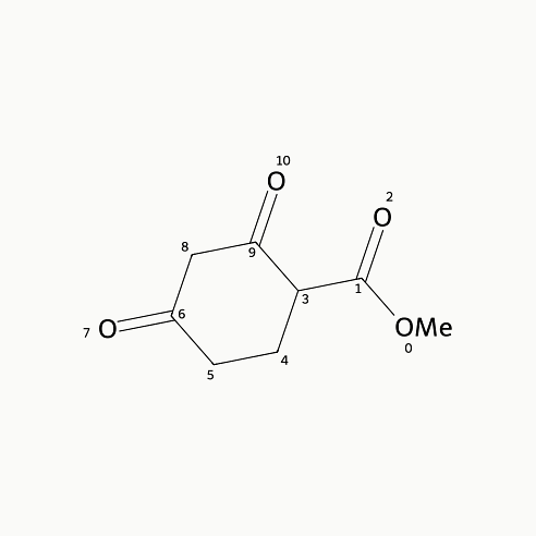 COC(=O)C1CCC(=O)CC1=O